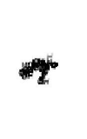 O=P(O)(O)COC[C@H]1O[C@@H](n2ccc3c(NC4CCCC4)nc(OCCCO)nc32)[C@H](O)[C@@H]1O